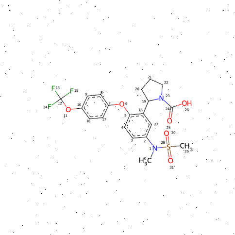 CN(c1ccc(Oc2ccc(OC(F)(F)F)cc2)c(C2CCCN2C(=O)O)c1)S(C)(=O)=O